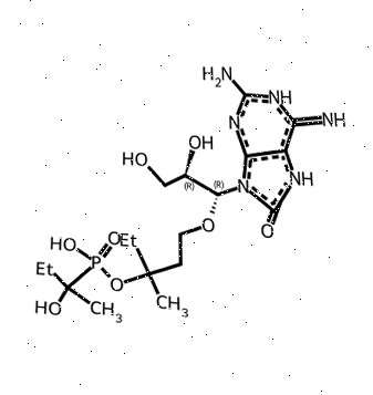 CCC(C)(CCO[C@H]([C@H](O)CO)n1c(=O)[nH]c2c(=N)[nH]c(N)nc21)OP(=O)(O)C(C)(O)CC